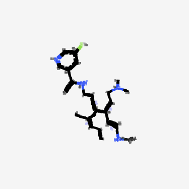 C=C\C=C(C)/C(=C\CNC(=C)c1cncc(F)c1)C(=C\CN(C)C)/C=C/NCCCC